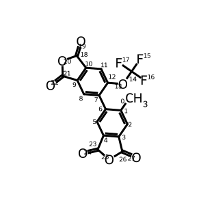 Cc1cc2c(cc1-c1cc3c(cc1OC(F)(F)F)C(=O)OC3=O)C(=O)OC2=O